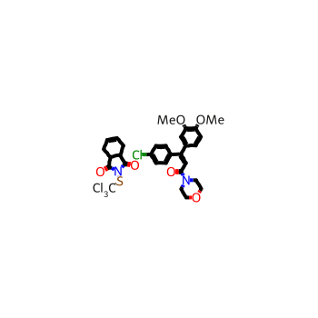 COc1ccc(/C(=C/C(=O)N2CCOCC2)c2ccc(Cl)cc2)cc1OC.O=C1C2CC=CCC2C(=O)N1SC(Cl)(Cl)Cl